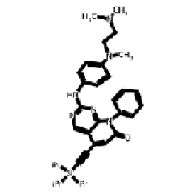 CC(C)[Si](C#Cc1cc(=O)n(-c2ccccc2)c2nc(Nc3ccc(N(C)CCN(C)C)cc3)ncc12)(C(C)C)C(C)C